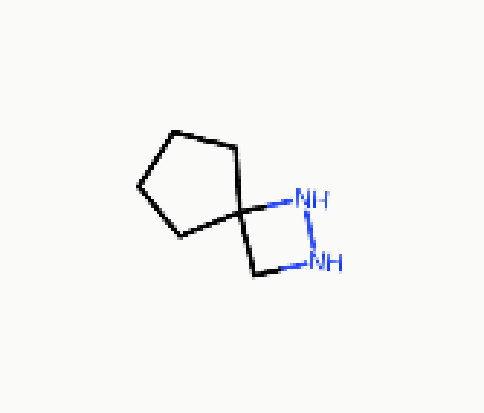 C1CCC2(C1)CNN2